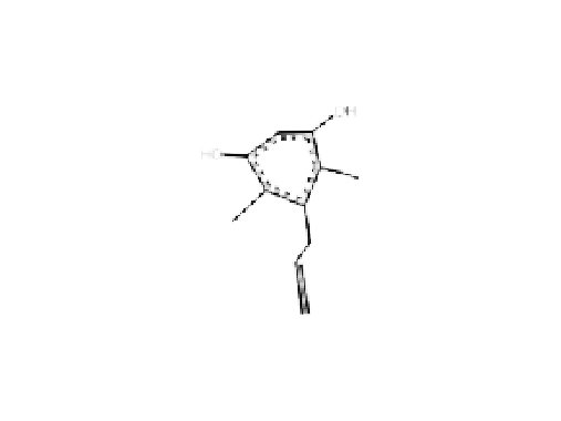 C=CCc1c(C)c(O)cc(O)c1C